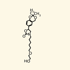 CC1(C)OCc2cc(C3CN(CCCCCCOCCO)C(=O)O3)ccc2O1